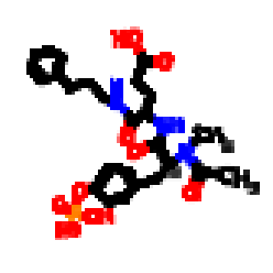 CC(=O)N(C)[C@@H](Cc1ccc(OP(=O)(O)O)cc1)C(=O)NC(CCC(=O)O)C(=O)NCCCc1ccccc1